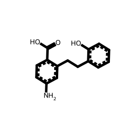 Nc1ccc(C(=O)O)c(CCc2ccccc2O)c1